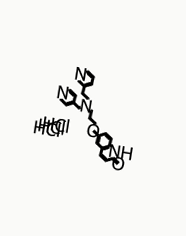 Cl.Cl.Cl.O=c1ccc2cc(OCCCN(CCc3cccnc3)Cc3ccncc3)ccc2[nH]1